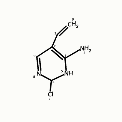 C=CC1=C(N)NC(Cl)N=C1